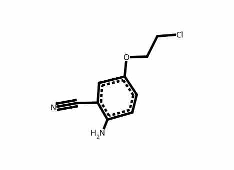 N#Cc1cc(OCCCl)ccc1N